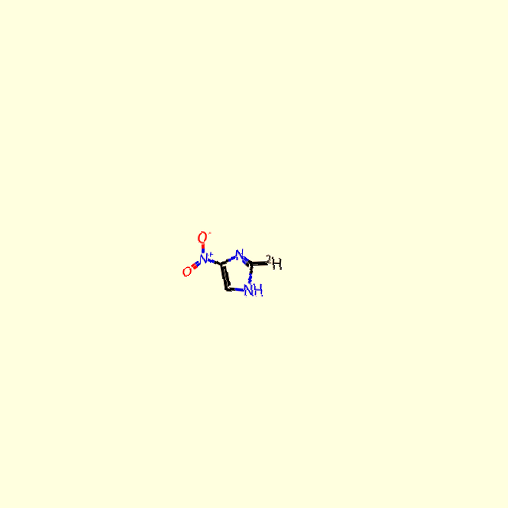 [2H]c1nc([N+](=O)[O-])c[nH]1